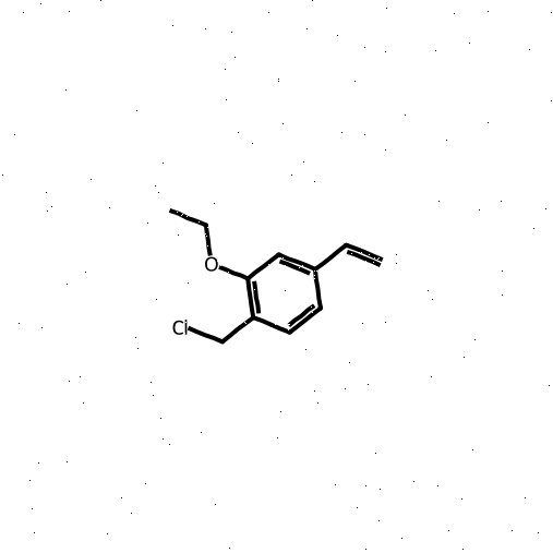 C=Cc1ccc(CCl)c(OCC)c1